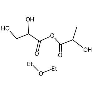 CC(O)C(=O)OC(=O)C(O)CO.CCOCC